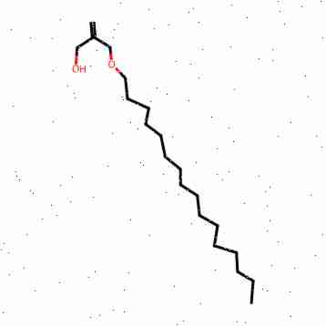 C=C(CO)COCCCCCCCCCCCCCCCC